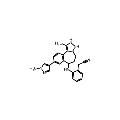 CC1=C2c3ccc(-c4cnn(C)c4)cc3C(Nc3ccccc3CC#N)CCN2NN1